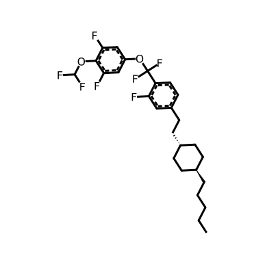 CCCCC[C@H]1CC[C@H](CCc2ccc(C(F)(F)Oc3cc(F)c(OC(F)F)c(F)c3)c(F)c2)CC1